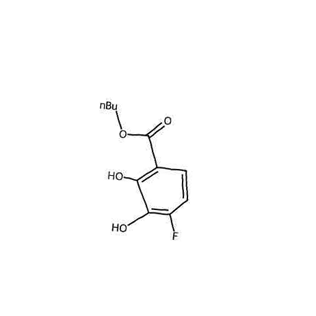 CCCCOC(=O)c1ccc(F)c(O)c1O